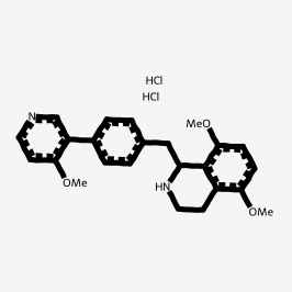 COc1ccncc1-c1ccc(CC2NCCc3c(OC)ccc(OC)c32)cc1.Cl.Cl